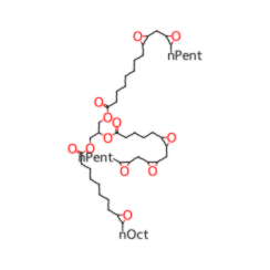 CCCCCCCCC1OC1CCCCCCCC(=O)OCC(COC(=O)CCCCCCCC1OC1CC1OC1CCCCC)OC(=O)CCCCC1OC1CC1OC1CC1OC1CCCCC